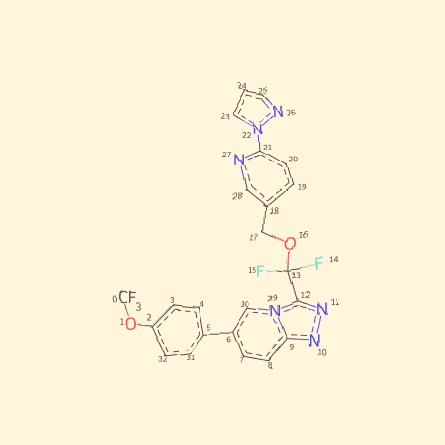 FC(F)(F)Oc1ccc(-c2ccc3nnc(C(F)(F)OCc4ccc(-n5cccn5)nc4)n3c2)cc1